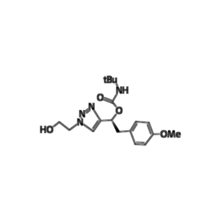 COc1ccc(C[C@H](OC(=O)NC(C)(C)C)c2cn(CCO)nn2)cc1